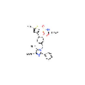 CCCc1cc(-c2ccc(Cn3c(-c4ccccc4)nc(OC)c3C=O)cc2)c(S(=O)(=O)NC(=O)OC)s1